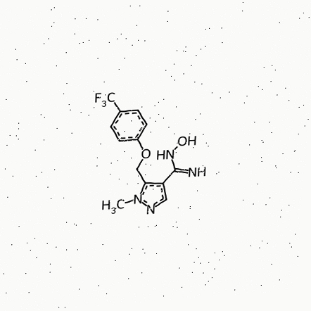 Cn1ncc(C(=N)NO)c1COc1ccc(C(F)(F)F)cc1